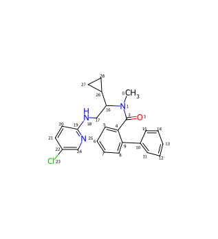 CN(C(=O)c1ccccc1-c1ccccc1)C(CNc1ccc(Cl)cn1)C1CC1